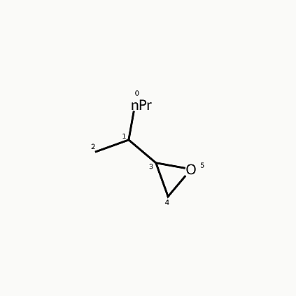 CCCC(C)C1CO1